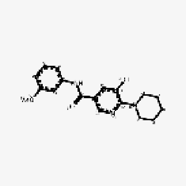 COc1cccc(NC(=O)c2cnc(N3CCCCC3)c(Cl)c2)c1